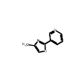 Cc1coc(-c2cccnc2)n1